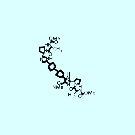 CNC(=O)c1nc([C@@H]2CCCN2C(=O)[C@H](C)NC(=O)OC)[nH]c1-c1ccc(-c2ccc(-c3cnc([C@@H]4CCCN4C(=O)[C@@H](C)NC(=O)OC)[nH]3)cc2)cc1